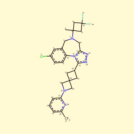 CC1(N2Cc3cc(Cl)ccc3-n3c(nnc3C3CC4(C3)CN(c3cccc(C(F)(F)F)n3)C4)C2)CC(F)(F)C1